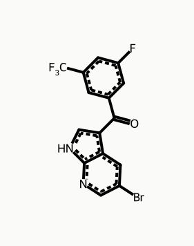 O=C(c1cc(F)cc(C(F)(F)F)c1)c1c[nH]c2ncc(Br)cc12